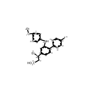 CCOc1ncc(Nc2cc([C@H](CC)CC(=O)O)ccc2-c2ncc(F)cn2)cn1